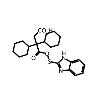 O=C(O)CC(C(=O)OSc1nc2ccccc2[nH]1)(C1CCCCC1)C1CCCCC1